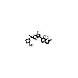 CN(c1cnc2c(-c3ccc4ccc(=O)[nH]c4c3Cl)c[nH]c2n1)[C@@H]1CCC[C@@H](N)C1